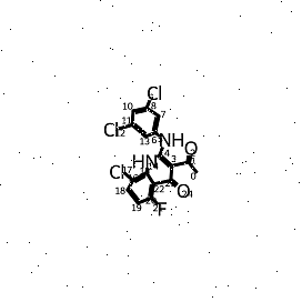 CC(=O)c1c(Nc2cc(Cl)cc(Cl)c2)[nH]c2c(Cl)ccc(F)c2c1=O